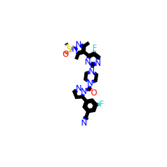 Cc1nn([S+](C)[O-])c(C)c1-c1nc(N2CCN(C(=O)N3N=CCC3c3cc(F)cc(C#N)c3)CC2)ncc1F